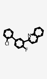 Fc1ccc(-c2ccccc2Cl)cc1-c1ccc2ccccc2n1